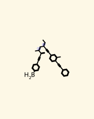 Bc1ccc(C#CC(=C)/C(C)=C\C(C#Cc2ccc(C#Cc3ccccc3)c(C)c2)=C/C)cc1